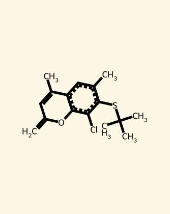 C=C1C=C(C)c2cc(C)c(SC(C)(C)C)c(Cl)c2O1